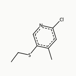 CCSc1cnc(Cl)cc1C